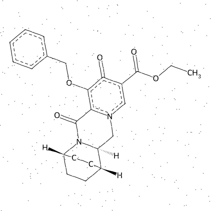 CCOC(=O)c1cn2c(c(OCc3ccccc3)c1=O)C(=O)N1[C@H]3CC[C@H](CC3)[C@@H]1C2